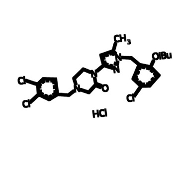 Cc1cc(N2CCN(Cc3ccc(Cl)c(Cl)c3)CC2=O)nn1Cc1cc(Cl)ccc1OCC(C)C.Cl